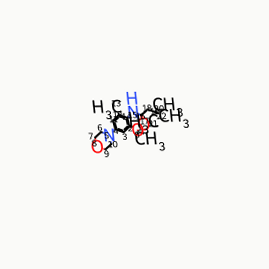 COc1cc(N2CCOCC2)cc(C)c1NC(=O)CC(C)(C)C